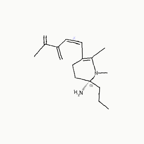 C=C(C)C(=C)/C=C\C1=C(C)N(C)[C@@](N)(CCC)CC1